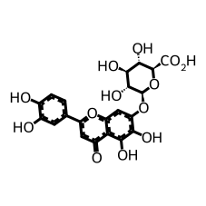 O=C(O)[C@H]1O[C@@H](Oc2cc3oc(-c4ccc(O)c(O)c4)cc(=O)c3c(O)c2O)[C@H](O)[C@@H](O)[C@@H]1O